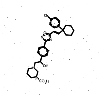 O=C(O)[C@H]1CCCN(CC(O)c2ccc(-c3noc(C=CC4(c5ccc(Cl)cc5)CCCCC4)n3)cc2)C1